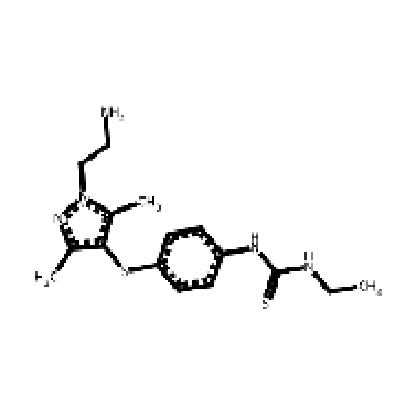 CCNC(=S)Nc1ccc(Sc2c(C)nn(CCN)c2C)cc1